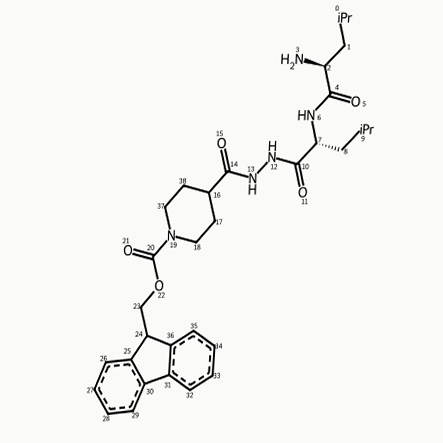 CC(C)C[C@H](N)C(=O)N[C@H](CC(C)C)C(=O)NNC(=O)C1CCN(C(=O)OCC2c3ccccc3-c3ccccc32)CC1